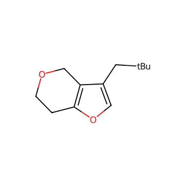 CC(C)(C)Cc1coc2c1COCC2